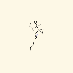 CCCC/C=C/C1(C2(C)OCCO2)CC1